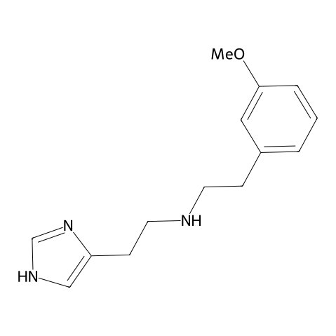 COc1cccc(CCNCCc2c[nH]cn2)c1